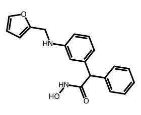 O=C(NO)C(c1ccccc1)c1cccc(NCc2ccco2)c1